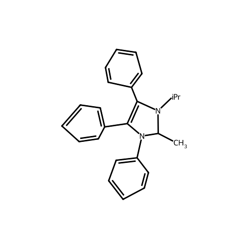 CC(C)N1C(c2ccccc2)=C(c2ccccc2)N(c2ccccc2)C1C